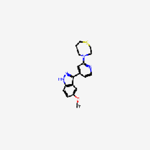 CC(C)Oc1ccc2[nH]nc(-c3ccnc(N4CCCSCC4)c3)c2c1